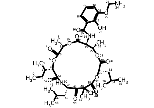 CCC(C)[C@@H]1OC(=O)[C@H](C)OC(=O)[C@@H](NC(=O)c2cccc(OCN)c2O)[C@@H](C)OC(=O)[C@H](CC(C)C)OC(=O)C(C)(C)C(=O)[C@H](CC(C)C)NC1=O